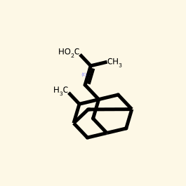 C/C(=C\C12CC3CC(CC(C3)C1C)C2)C(=O)O